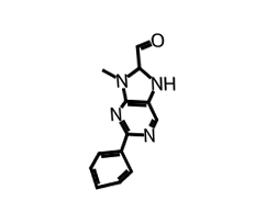 CN1c2nc(-c3ccccc3)ncc2NC1C=O